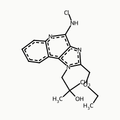 CCOCc1nc2c(NCl)nc3ccccc3c2n1CC(C)(C)O